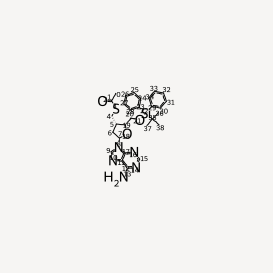 CC(=O)SC[C@H]1C[C@H](n2cnc3c(N)ncnc32)O[C@@H]1CO[Si](c1ccccc1)(c1ccccc1)C(C)(C)C